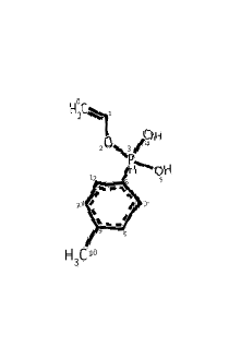 C=CO[PH](O)(O)c1ccc(C)cc1